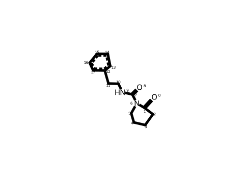 O=C1CCCCN1C(=O)NCCc1ccccc1